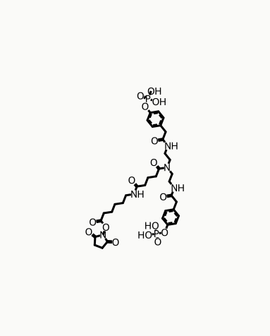 O=C(CCCC(=O)N(CCNC(=O)Cc1ccc(OP(=O)(O)O)cc1)CCNC(=O)Cc1ccc(OP(=O)(O)O)cc1)NCCCCCC(=O)ON1C(=O)CCC1=O